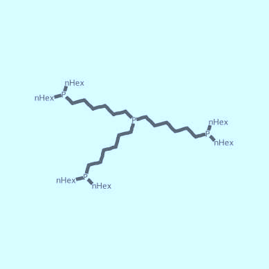 CCCCCCP(CCCCCC)CCCCCCP(CCCCCCP(CCCCCC)CCCCCC)CCCCCCP(CCCCCC)CCCCCC